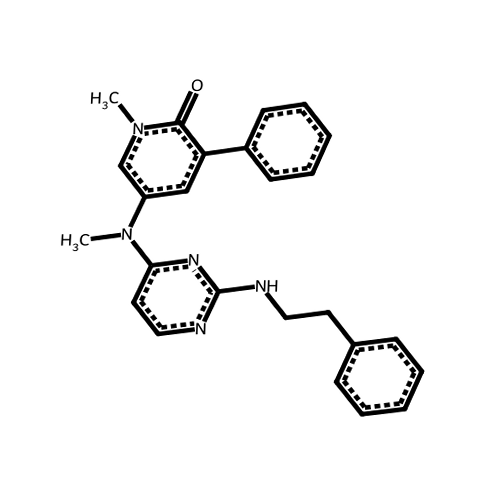 CN(c1cc(-c2ccccc2)c(=O)n(C)c1)c1ccnc(NCCc2ccccc2)n1